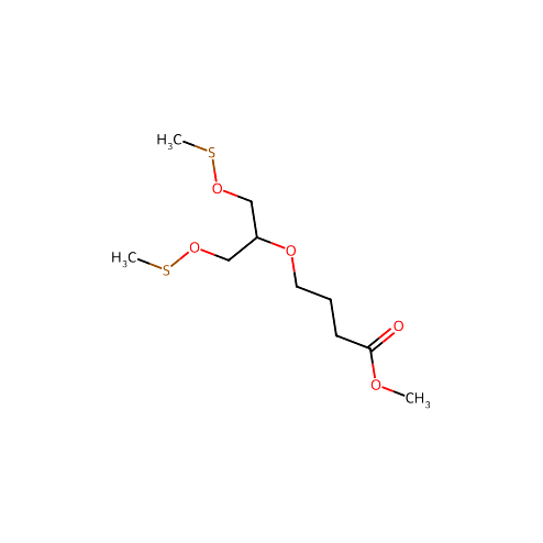 COC(=O)CCCOC(COSC)COSC